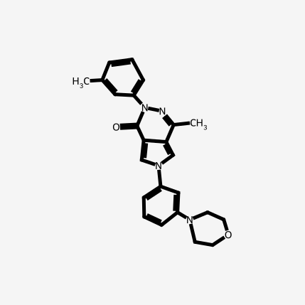 Cc1cccc(-n2nc(C)c3cn(-c4cccc(N5CCOCC5)c4)cc3c2=O)c1